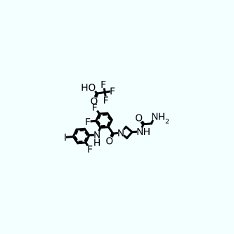 NCC(=O)NC1CN(C(=O)c2ccc(F)c(F)c2Nc2ccc(I)cc2F)C1.O=C(O)C(F)(F)F